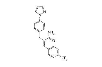 NC(=O)C(=Cc1ccc(C(F)(F)F)cc1)Cc1ccc(-n2cccn2)cc1